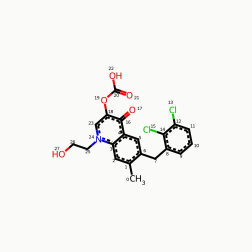 Cc1cc2c(cc1Cc1cccc(Cl)c1Cl)c(=O)c(OC(=O)O)cn2CCO